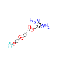 Nc1cc(N)cc(CCOC(=O)C=Cc2ccc(OC(=O)C3CCC(OCC(F)(F)F)CC3)cc2)c1